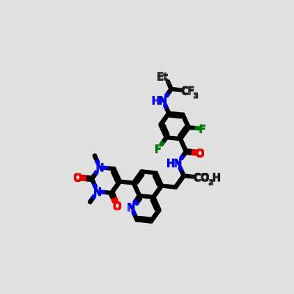 CCC(Nc1cc(F)c(C(=O)NC(Cc2ccc(-c3cn(C)c(=O)n(C)c3=O)c3ncccc23)C(=O)O)c(F)c1)C(F)(F)F